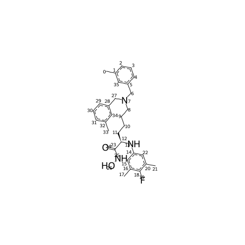 Cc1cccc(CN(CCCC[C@@H](Nc2cc(C)c(F)c(C)c2)C(=O)NO)Cc2cccc(C)c2)c1